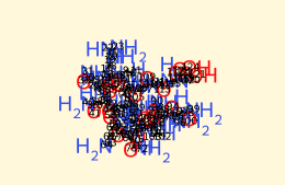 CC[C@H](C)[C@H](NC(=O)[C@H](CC(C)C)NC(=O)[C@H](CCCNC(=N)N)NC(=O)[C@H](CCC(N)=O)NC(=O)[C@H](CCC(N)=O)NC(=O)[C@H](Cc1c[nH]c2ccccc12)NC(=O)[C@H](CCCCN)NC(=O)[C@H](CCC(N)=O)NC(=O)[C@H](CO)NC(=O)[C@@H](NC(=O)[C@H](CC(N)=O)NC(=O)[C@@H](N)CC(N)=O)C(C)C)C(=O)NCC(=O)NCC(=O)NCC(=O)N[C@@H](CO)C(=O)O